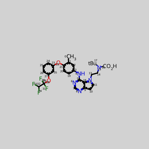 Cc1cc(Nc2ncnc3ccn(CCN(C(=O)O)C(C)(C)C)c23)ccc1Oc1cccc(OC(F)(F)C(F)F)c1